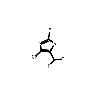 Fc1nc(Cl)c(C(F)F)s1